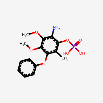 COc1c(N)c(OP(=O)(O)O)c(C)c(Oc2ccccc2)c1OC